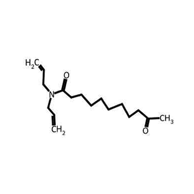 C=CCN(CC=C)C(=O)CCCCCCCCC(C)=O